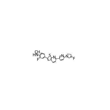 CNc1ccc(-c2cc3ccc(-c4ccc(N5CC[C@H](F)C5)nc4)nc3s2)cc1F